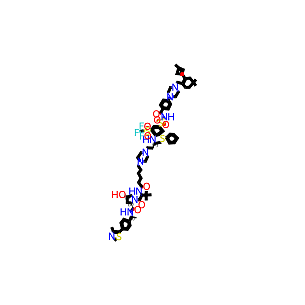 Cc1ncsc1-c1ccc([C@H](C)NC(=O)[C@@H]2C[C@@H](O)CN2C(=O)[C@@H](NC(=O)CCCCCN2CCN(CC[C@H](CSc3ccccc3)Nc3ccc(S(=O)(=O)NC(=O)c4ccc(N5CCN(CC6=C(C78CC(C)(C7)C8)CC(C)(C)CC6)CC5)cc4)cc3S(=O)(=O)C(F)(F)F)CC2)C(C)(C)C)cc1